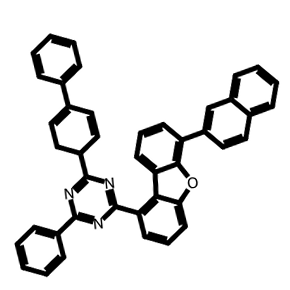 C1=CC(c2nc(-c3ccccc3)nc(-c3cccc4oc5c(-c6ccc7ccccc7c6)cccc5c34)n2)CC=C1c1ccccc1